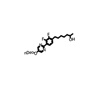 CCCCCCCCCCOc1cnc(-c2ccc(CCCCCC(C)O)c(F)c2F)nc1